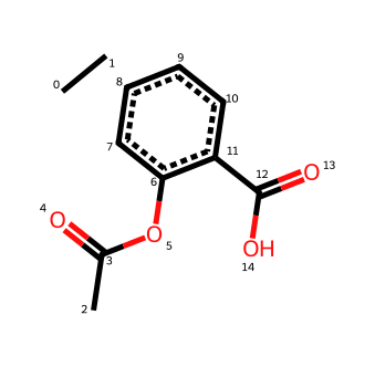 CC.CC(=O)Oc1ccccc1C(=O)O